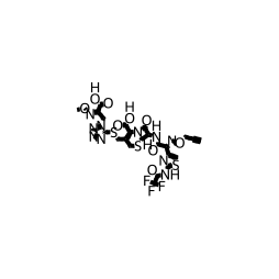 C#CCON=C(C(=O)NC1C(=O)N2C(C(=O)O)=C(CSc3nnnn3CC(=NOC)C(=O)O)CS[C@@H]12)c1csc(NC(=O)C(F)(F)F)n1